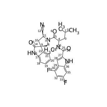 CC(C)CC(C(=O)N1C[C@]2(C[C@H]1C#N)C(=O)Nc1ccccc12)N(C)C(=O)c1cc2c(F)cc(F)cc2[nH]1